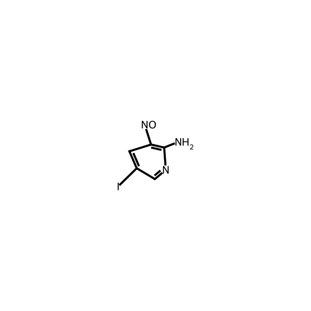 Nc1ncc(I)cc1N=O